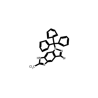 ClC(Cl)(Cl)c1nc2cc3c(Br)nn(C(c4ccccc4)(c4ccccc4)c4ccccc4)c3cc2[nH]1